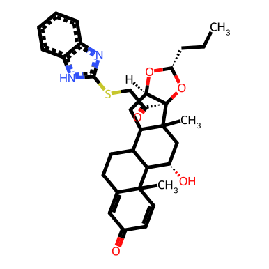 CCC[C@H]1O[C@@H]2CC3C4CCC5=CC(=O)C=CC5(C)C4[C@@H](O)CC3(C)[C@]2(C(=O)CSc2nc3ccccc3[nH]2)O1